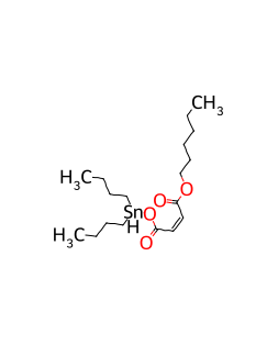 CCCCCCOC(=O)/C=C\C(=O)[O][SnH]([CH2]CCC)[CH2]CCC